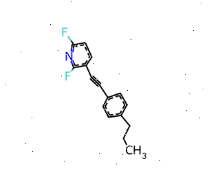 CCCc1ccc(C#Cc2ccc(F)nc2F)cc1